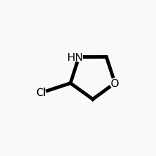 ClC1[CH]OCN1